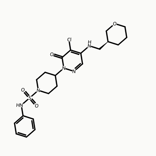 O=c1c(Cl)c(NC[C@@H]2CCCOC2)cnn1C1CCN(S(=O)(=O)Nc2ccccc2)CC1